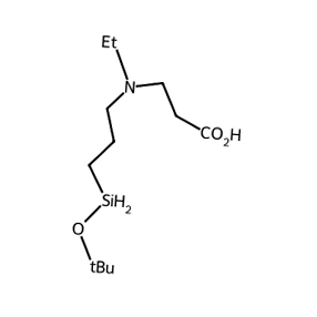 CCN(CCC[SiH2]OC(C)(C)C)CCC(=O)O